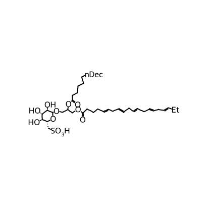 CC/C=C/C/C=C/C/C=C/C/C=C/C/C=C/CCCC(=O)OCC(CO[C@H]1O[C@H](CS(=O)(=O)O)[C@@H](O)[C@H](O)[C@H]1O)OC(=O)CCCCCCCCCCCCCCC